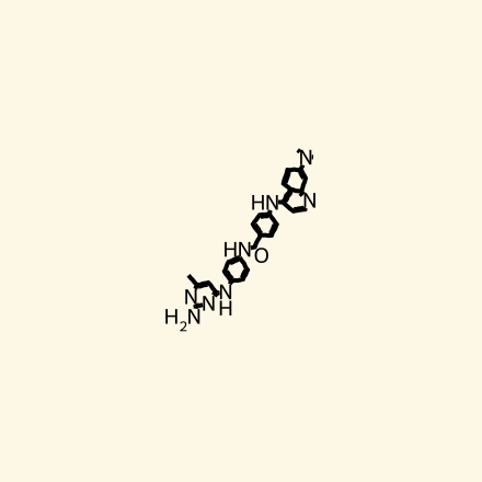 Cc1cc(Nc2ccc(NC(=O)c3ccc(Nc4ccnc5cc(N(C)C)ccc45)cc3)cc2)nc(N)n1